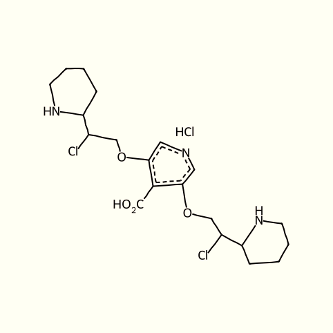 Cl.O=C(O)c1c(OCC(Cl)C2CCCCN2)cncc1OCC(Cl)C1CCCCN1